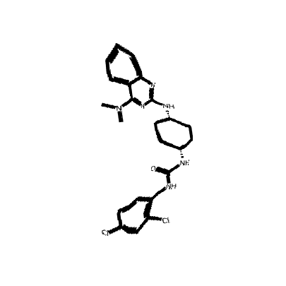 CN(C)c1nc(N[C@H]2CC[C@@H](NC(=O)Nc3ccc(Cl)cc3Cl)CC2)nc2ccccc12